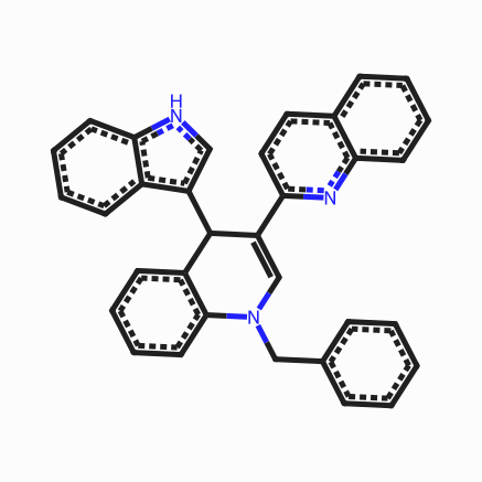 C1=C(c2ccc3ccccc3n2)C(c2c[nH]c3ccccc23)c2ccccc2N1Cc1ccccc1